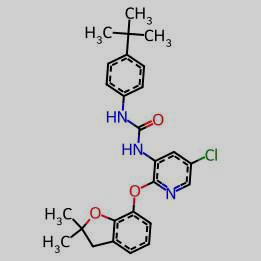 CC1(C)Cc2cccc(Oc3ncc(Cl)cc3NC(=O)Nc3ccc(C(C)(C)C)cc3)c2O1